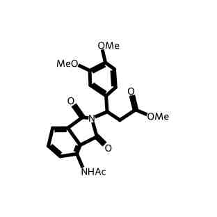 COC(=O)CC(c1ccc(OC)c(OC)c1)N1C(=O)c2cccc(NC(C)=O)c2C1=O